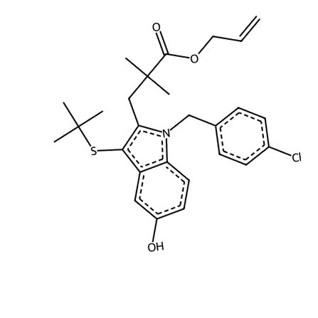 C=CCOC(=O)C(C)(C)Cc1c(SC(C)(C)C)c2cc(O)ccc2n1Cc1ccc(Cl)cc1